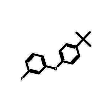 CC(C)(C)c1ccc(Oc2cccc(F)c2)cc1